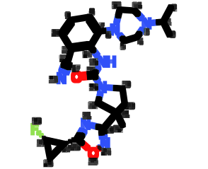 CC(C)N1CCN(c2cccc(C#N)c2NC(=O)N2CCC(C)(c3noc([C@@H]4C[C@@H]4F)n3)C2)CC1